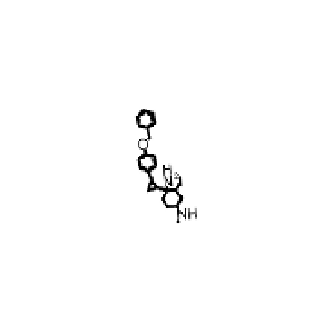 CNC1CCC(N)(C2CC2c2ccc(OCc3ccccc3)cc2)C(I)C1